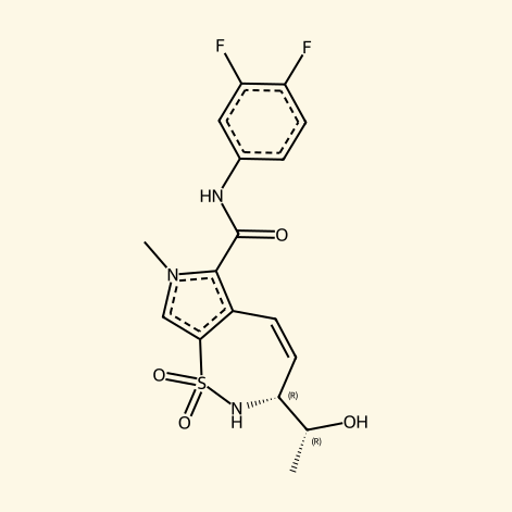 C[C@@H](O)[C@H]1C=Cc2c(cn(C)c2C(=O)Nc2ccc(F)c(F)c2)S(=O)(=O)N1